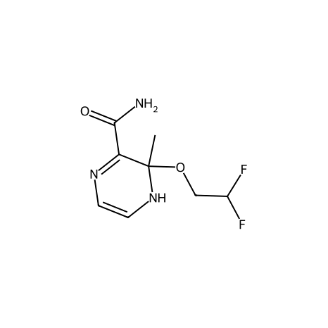 CC1(OCC(F)F)NC=CN=C1C(N)=O